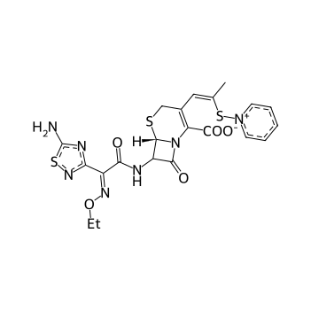 CCON=C(C(=O)NC1C(=O)N2C(C(=O)[O-])=C(C=C(C)S[n+]3ccccc3)CS[C@@H]12)c1nsc(N)n1